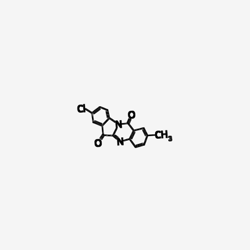 Cc1ccc2nc3n(c(=O)c2c1)-c1ccc(Cl)cc1C3=O